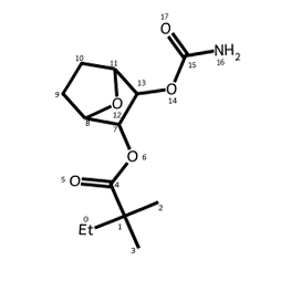 CCC(C)(C)C(=O)OC1C2CCC(O2)C1OC(N)=O